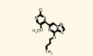 C=CCCOc1nc(-c2nc(Cl)ncc2OC)cn2ncnc12